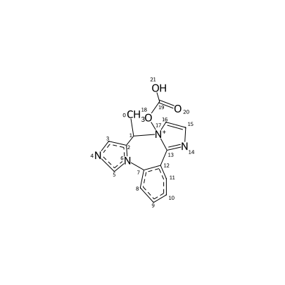 CC1c2cncn2-c2ccccc2C2=NC=C[N+]21OC(=O)O